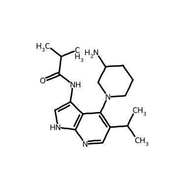 CC(C)C(=O)Nc1c[nH]c2ncc(C(C)C)c(N3CCCC(N)C3)c12